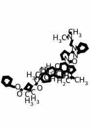 C=C(C)[C@@H]1CC[C@]2(C(=O)N3CCC[C@H]3c3nc4ccccc4n3CCN(C)C)CC[C@]3(C)[C@H](CC[C@@H]4[C@@]5(C)CC[C@H](OC(=O)[C@H]6C[C@@H](C(=O)OCc7ccccc7)C6(C)C)C(C)(C)[C@@H]5CC[C@]43C)[C@@H]12